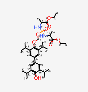 CCOC(=O)C(C)NP(=O)(NC(C)C(=O)OCC)OCOc1c(C(C)C)cc(-c2cc(C(C)C)c(O)c(C(C)C)c2)cc1C(C)C